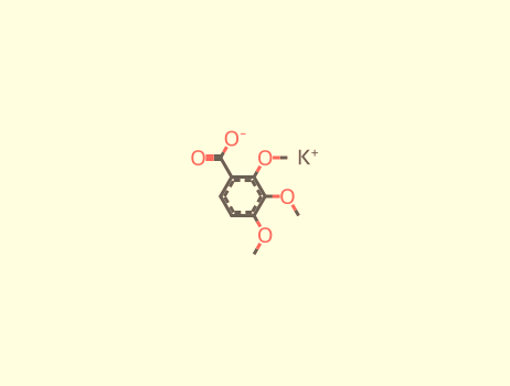 COc1ccc(C(=O)[O-])c(OC)c1OC.[K+]